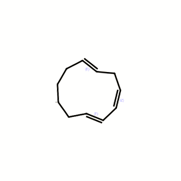 [CH]1C/C=C/C=C\C/C=C/CC1